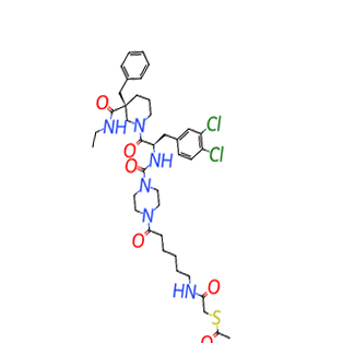 CCNC(=O)[C@]1(Cc2ccccc2)CCCN(C(=O)[C@@H](Cc2ccc(Cl)c(Cl)c2)NC(=O)N2CCN(C(=O)CCCCCNC(=O)CSC(C)=O)CC2)C1